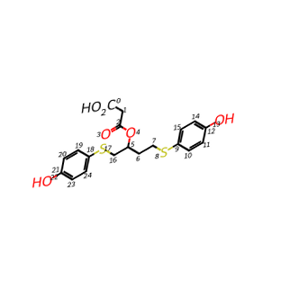 O=C(O)CC(=O)OC(CCSc1ccc(O)cc1)CSc1ccc(O)cc1